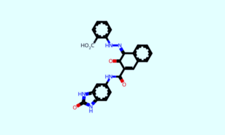 O=C(Nc1ccc2[nH]c(=O)[nH]c2c1)C1=Cc2ccccc2/C(=N/Nc2ccccc2C(=O)O)C1=O